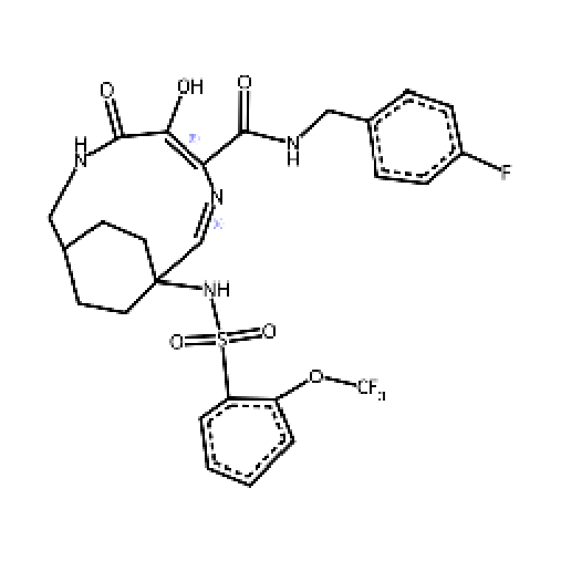 O=C1NCC2CCC(NS(=O)(=O)c3ccccc3OC(F)(F)F)(/C=N/C(C(=O)NCc3ccc(F)cc3)=C\1O)CC2